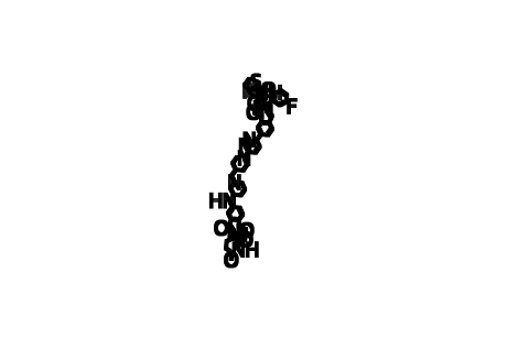 O=C1CCC(N2C(=O)c3ccc(N[C@@H]4CCCN(CC5CCN(c6ccc(-c7ccc8c(c7)C(=O)N(C(C(=O)Nc7nccs7)c7cc(F)ccc7O)C8)nn6)CC5)C4)cc3C2=O)C(=O)N1